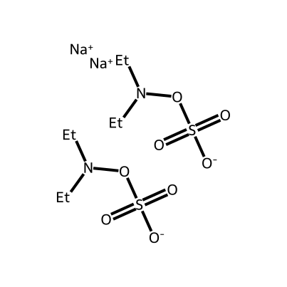 CCN(CC)OS(=O)(=O)[O-].CCN(CC)OS(=O)(=O)[O-].[Na+].[Na+]